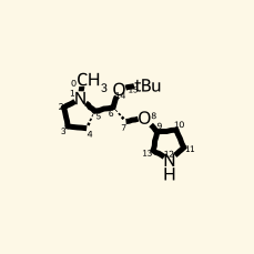 CN1CCC[C@H]1[C@@H](COC1CCNC1)OC(C)(C)C